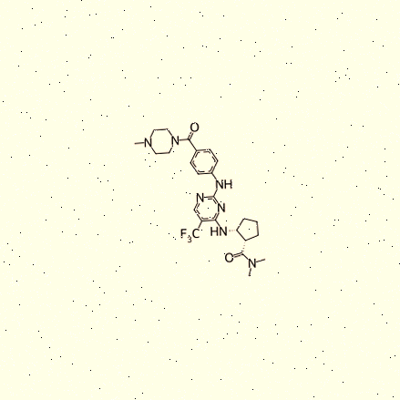 CN1CCN(C(=O)c2ccc(Nc3ncc(C(F)(F)F)c(N[C@@H]4CCC[C@@H]4C(=O)N(C)C)n3)cc2)CC1